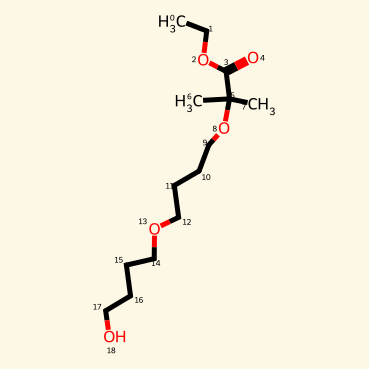 CCOC(=O)C(C)(C)OCCCCOCCCCO